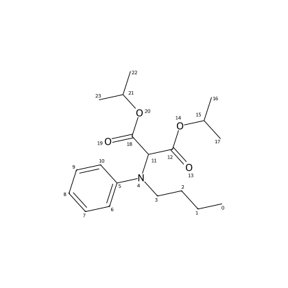 CCCCN(c1ccccc1)C(C(=O)OC(C)C)C(=O)OC(C)C